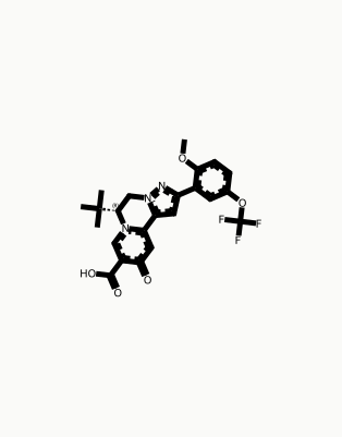 COc1ccc(OC(F)(F)F)cc1-c1cc2n(n1)C[C@@H](C(C)(C)C)n1cc(C(=O)O)c(=O)cc1-2